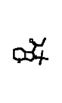 CCC(=O)C1C2CCCSC2CN1C(C)(C)C